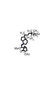 COC(/C=C1\CCC[C@@]2(C)C1CCC2[C@H](C)CCC(C)(C)[Si](C)(C)O)C12CC1C[C@H](OC(C)=O)C2=O